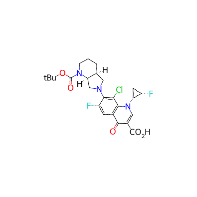 CC(C)(C)OC(=O)N1CCC[C@H]2CN(c3c(F)cc4c(=O)c(C(=O)O)cn([C@@H]5C[C@@H]5F)c4c3Cl)C[C@H]21